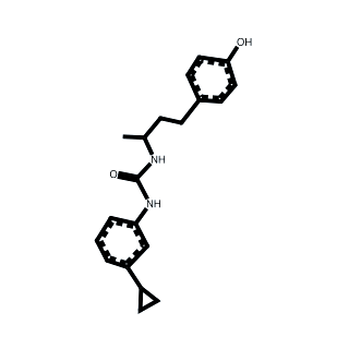 CC(CCc1ccc(O)cc1)NC(=O)Nc1cccc(C2CC2)c1